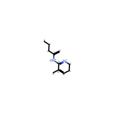 C=C(CCC)NC1=NCCC=C1C